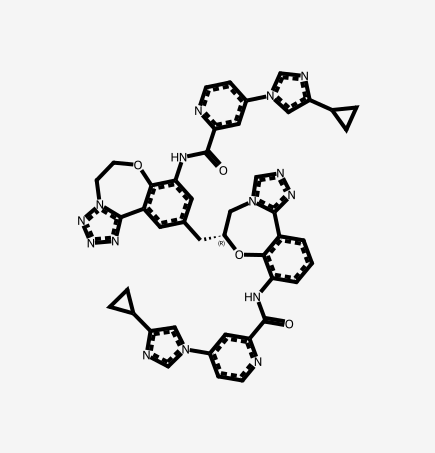 O=C(Nc1cccc2c1O[C@H](Cc1cc(NC(=O)c3cc(-n4cnc(C5CC5)c4)ccn3)c3c(c1)-c1nnnn1CCO3)Cn1cnnc1-2)c1cc(-n2cnc(C3CC3)c2)ccn1